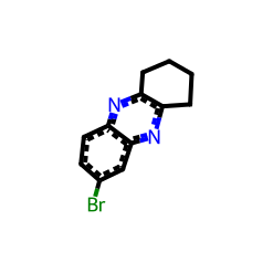 Brc1ccc2nc3c(nc2c1)CCCC3